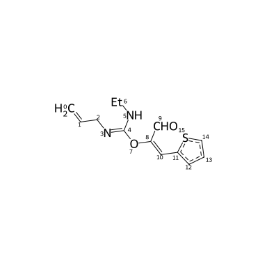 C=CC/N=C(\NCC)O/C(C=O)=C/c1cccs1